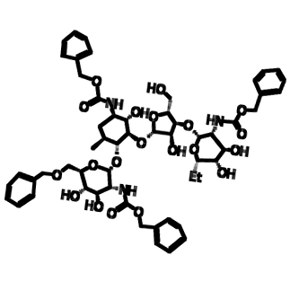 CC[C@@H]1O[C@H](O[C@H]2[C@@H](O)[C@H](O[C@@H]3[C@@H](O)[C@H](NC(=O)OCc4ccccc4)C[C@H](C)[C@H]3O[C@H]3O[C@H](COCc4ccccc4)[C@@H](O)[C@H](O)[C@H]3NC(=O)OCc3ccccc3)O[C@@H]2CO)[C@H](NC(=O)OCc2ccccc2)[C@@H](O)[C@@H]1O